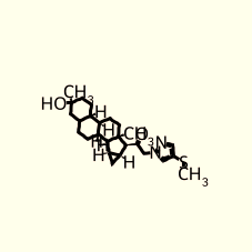 CSc1cnn(CC(=O)[C@H]2[C@H]3C[C@H]3[C@H]3[C@@H]4CCC5C[C@](C)(O)CC[C@@H]5[C@H]4CC[C@@]32C)c1